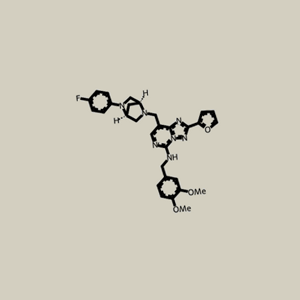 COc1ccc(CNc2ncc(CN3C[C@@H]4C[C@H]3CN4c3ccc(F)cc3)c3nc(-c4ccco4)nn23)cc1OC